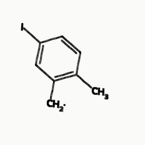 [CH2]c1cc(I)ccc1C